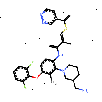 C=C(Nc1ccc(Oc2c(F)cccc2F)c(C(F)(F)F)c1N1CCC[C@@H](CN)C1)/C(C)=C/SC(=C)c1ccnnc1